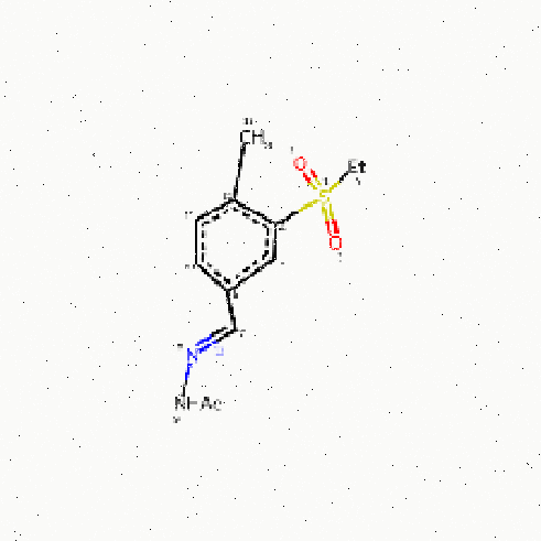 CCS(=O)(=O)c1cc(/C=N/NC(C)=O)ccc1C